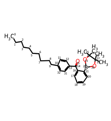 CCCCCCCCCCc1ccc(C(=O)c2ccccc2B2OC(C)(C)C(C)(C)O2)cc1